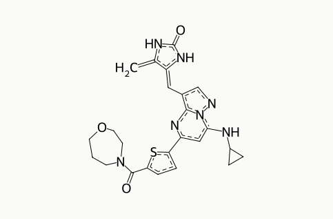 C=c1[nH]c(=O)[nH]/c1=C\c1cnn2c(NC3CC3)cc(-c3ccc(C(=O)N4CCCOCC4)s3)nc12